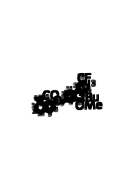 CO[C@H](c1cc(COc2ccc3c(c2)[C@]2(CCC3)C[C@H]2C(=O)O)ccc1-c1ccnc(C(F)(F)F)c1)C(C)(C)C